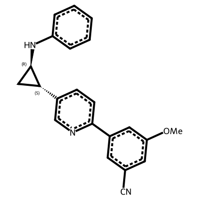 COc1cc(C#N)cc(-c2ccc([C@@H]3C[C@H]3Nc3ccccc3)cn2)c1